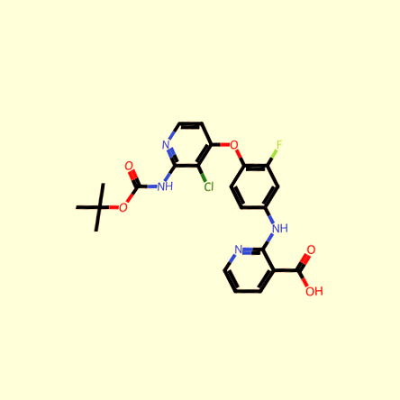 CC(C)(C)OC(=O)Nc1nccc(Oc2ccc(Nc3ncccc3C(=O)O)cc2F)c1Cl